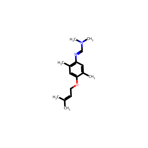 CC(C)=CCOc1cc(C)c(N=CN(C)C)cc1C